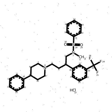 CN(CC(CCN1CCC(c2ccccc2)CC1)c1cccc(C(F)(F)F)c1)S(=O)(=O)c1ccccc1.Cl